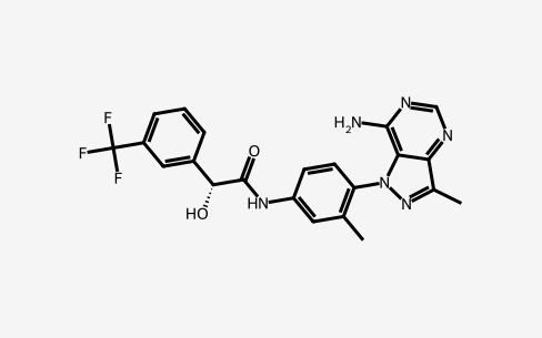 Cc1cc(NC(=O)[C@H](O)c2cccc(C(F)(F)F)c2)ccc1-n1nc(C)c2ncnc(N)c21